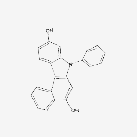 Oc1ccc2c3c4ccccc4c(O)cc3n(-c3ccccc3)c2c1